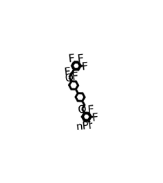 CCCc1ccc(OCC2CCC(C3CCC(OC(F)(F)c4cc(F)c(F)c(F)c4)CC3)CC2)c(F)c1F